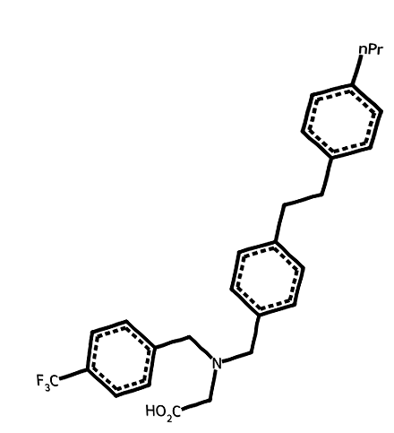 CCCc1ccc(CCc2ccc(CN(CC(=O)O)Cc3ccc(C(F)(F)F)cc3)cc2)cc1